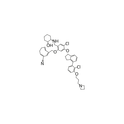 N#CC1=C/CC/C=C/C(COc2cc(O[C@H]3CCc4c(-c5cccc(OCCCN6CCC6)c5Cl)cccc43)c(Cl)cc2CN[C@@H]2CCCC[C@@H]2O)=C\1